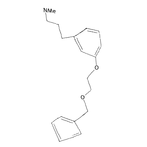 CNCCCc1cccc(OCCOCc2ccccc2)c1